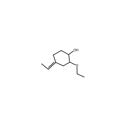 CC=C1CCC(O)C(OCC)C1